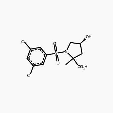 CC1(C(=O)O)C[C@H](O)CN1S(=O)(=O)c1cc(Cl)cc(Cl)c1